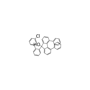 OC1(c2ccccc2-c2cccc(Cl)c2)c2cccc(-c3ccccc3)c2-c2c(-c3ccccc3)cccc21